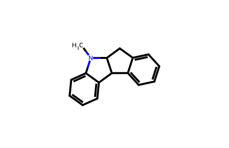 CN1c2ccccc2C2c3ccccc3CC21